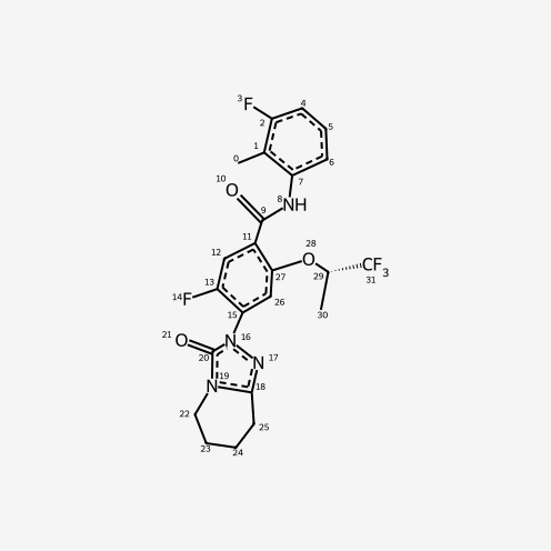 Cc1c(F)cccc1NC(=O)c1cc(F)c(-n2nc3n(c2=O)CCCC3)cc1O[C@@H](C)C(F)(F)F